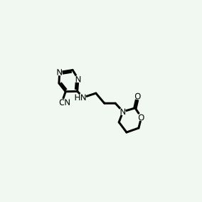 N#Cc1cncnc1NCCCN1CCCOC1=O